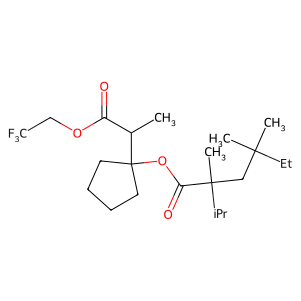 CCC(C)(C)CC(C)(C(=O)OC1(C(C)C(=O)OCC(F)(F)F)CCCC1)C(C)C